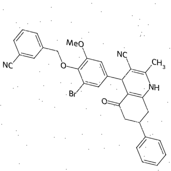 COc1cc(C2C(C#N)=C(C)NC3=C2C(=O)CC(c2ccccc2)C3)cc(Br)c1OCc1cccc(C#N)c1